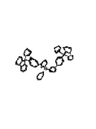 c1ccc(N(c2cccc(-c3ccc(C4(c5ccccc5)c5ccccc5-c5ccccc54)cc3)c2)c2cccc(-c3ccc(C4(c5ccccc5)c5ccccc5-c5ccccc54)cc3)c2)cc1